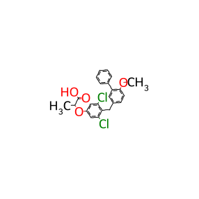 COc1ccc(Cc2c(Cl)cc(OC(C)C(=O)O)cc2Cl)cc1-c1ccccc1